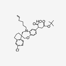 C=CCCCCN1C[C@@]2(CCCc3cc(Cl)ccc32)COc2ccc(C(CC(=O)OC(C)(C)C)C(=O)O)cc21